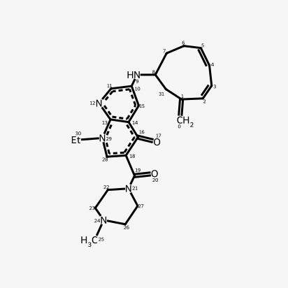 C=C1/C=C\C=C/CCC(Nc2cnc3c(c2)c(=O)c(C(=O)N2CCN(C)CC2)cn3CC)C1